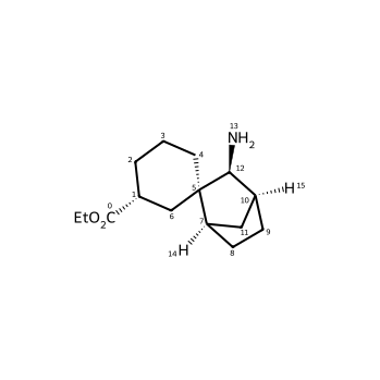 CCOC(=O)[C@@H]1CCC[C@@]2(C1)[C@@H]1CC[C@@H](C1)[C@@H]2N